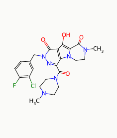 CN1CCN(C(=O)c2nn(Cc3ccc(F)c(Cl)c3)c(=O)c3c(O)c4n(c23)CCN(C)C4=O)CC1